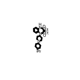 CCC1(CC)C(=O)Nc2ccccc2N(C2CCN(C3CCC(C(C)C)CC3)CC2)C1=O